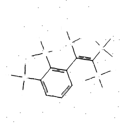 CC[Si](CC)(CC)C(=C([Si](CC)(CC)CC)[Si](CC)(CC)CC)c1cccc([Si](CC)(CC)CC)c1[Si](CC)(CC)CC